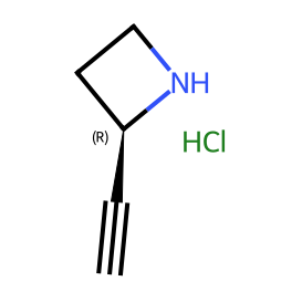 C#C[C@H]1CCN1.Cl